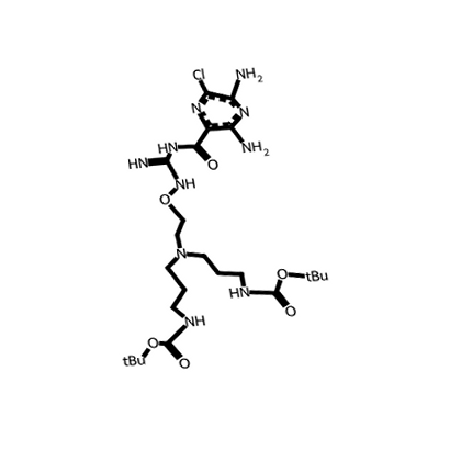 CC(C)(C)OC(=O)NCCCN(CCCNC(=O)OC(C)(C)C)CCONC(=N)NC(=O)c1nc(Cl)c(N)nc1N